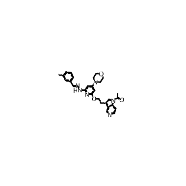 CC(=O)n1cc(CCOc2cc(N3CCOCC3)cc(N/N=C/c3cccc(C)c3)n2)c2cnccc21